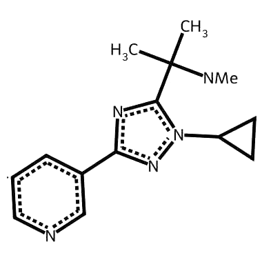 CNC(C)(C)c1nc(-c2c[c]cnc2)nn1C1CC1